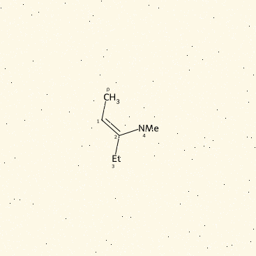 CC=C(CC)NC